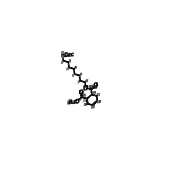 CCCCCCCCCCCCCCCCCCOC(=O)C1CC=CCC1C(=O)OCC(C)C